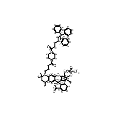 CC1CC(C)(C)N(CCCC(=O)N2CCN(C(=O)CCCC[PH](c3ccccc3)(c3ccccc3)c3ccccc3)CC2)c2cc3c(cc21)C1(OC(=O)c2ccccc21)c1cc(F)c(OS(=O)(=O)C(F)(F)F)c(F)c1O3